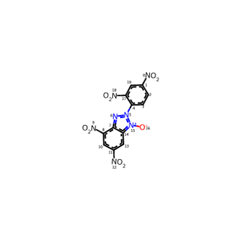 O=[N+]([O-])c1ccc(-n2nc3c([N+](=O)[O-])cc([N+](=O)[O-])cc3[n+]2[O-])c([N+](=O)[O-])c1